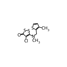 Cc1ccsc1CN(C)c1ssc(=O)c1Cl